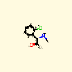 CCC(=O)[C@@H](c1ccccc1Cl)N(C)C